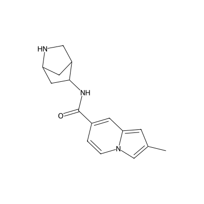 Cc1cc2cc(C(=O)NC3CC4CC3CN4)ccn2c1